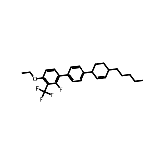 CCCCCC1C=CC(c2ccc(-c3ccc(OCC)c(C(F)(F)F)c3F)cc2)CC1